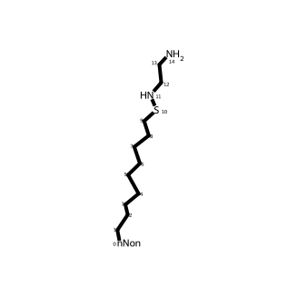 CCCCCCCCCCCCCCCCCCSNCCN